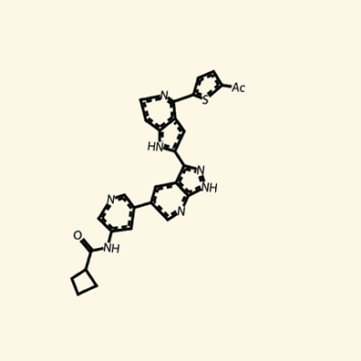 CC(=O)c1ccc(-c2nccc3[nH]c(-c4n[nH]c5ncc(-c6cncc(NC(=O)C7CCC7)c6)cc45)cc23)s1